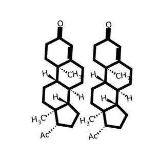 CC(=O)[C@H]1CC[C@H]2[C@@H]3CCC4=CC(=O)CC[C@]4(C)[C@H]3CC[C@]12C.CC(=O)[C@H]1CC[C@H]2[C@@H]3CCC4=CC(=O)CC[C@]4(C)[C@H]3CC[C@]12C